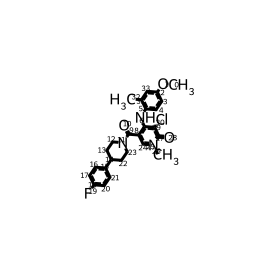 COc1ccc(Nc2c(C(=O)N3CCC(c4ccc(F)cc4)CC3)cn(C)c(=O)c2Cl)c(C)c1